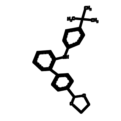 CC(C)(C)c1ccc(Nc2ccccc2-c2ccc(C3OCCO3)cc2)cc1